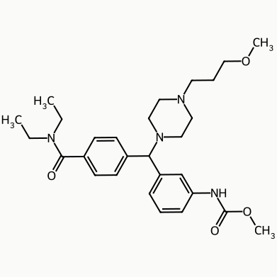 CCN(CC)C(=O)c1ccc(C(c2cccc(NC(=O)OC)c2)N2CCN(CCCOC)CC2)cc1